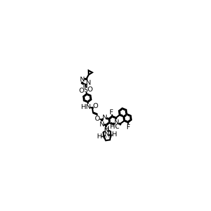 C#Cc1c(F)ccc2cccc(-c3ncc4c(N5C[C@H]6CC[C@@H](C5)N6)nc(OC=CC(=O)Nc5ccc(S(=O)(=O)n6cnc(C7CC7)n6)cc5)nc4c3F)c12